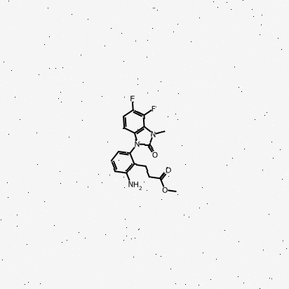 COC(=O)CCc1c(N)cccc1-n1c(=O)n(C)c2c(F)c(F)ccc21